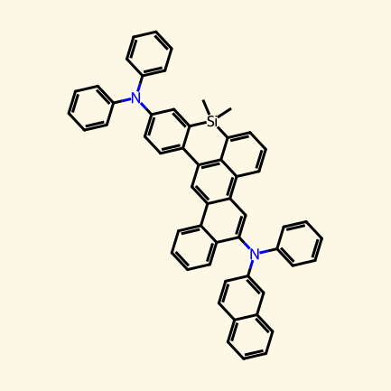 C[Si]1(C)c2cc(N(c3ccccc3)c3ccccc3)ccc2-c2cc3c4ccccc4c(N(c4ccccc4)c4ccc5ccccc5c4)cc3c3cccc1c23